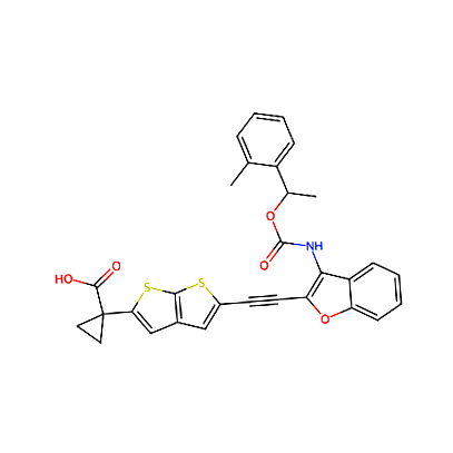 Cc1ccccc1C(C)OC(=O)Nc1c(C#Cc2cc3cc(C4(C(=O)O)CC4)sc3s2)oc2ccccc12